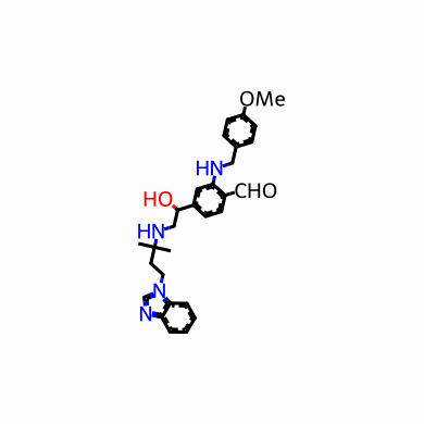 COc1ccc(CNc2cc(C(O)CNC(C)(C)CCn3cnc4ccccc43)ccc2C=O)cc1